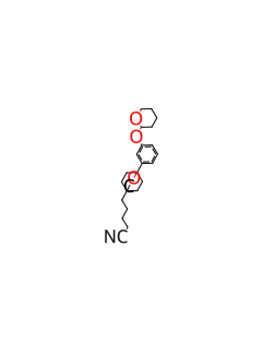 N#CCCCCC12CCC(c3cccc(OC4CCCCO4)c3)(CC1)OC2